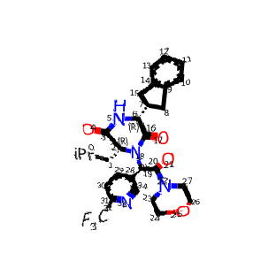 CC(C)C[C@@H]1C(=O)N[C@H](C2Cc3ccccc3C2)C(=O)N1[C@@H](C(=O)N1CCOCC1)c1ccc(C(F)(F)F)nc1